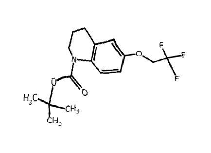 CC(C)(C)OC(=O)N1CCCc2cc(OCC(F)(F)F)ccc21